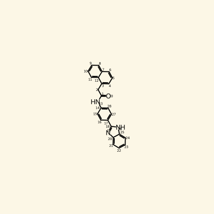 O=C(Cc1cccc2ccccc12)Nc1ccc(-c2nc3ccccc3[nH]2)cc1